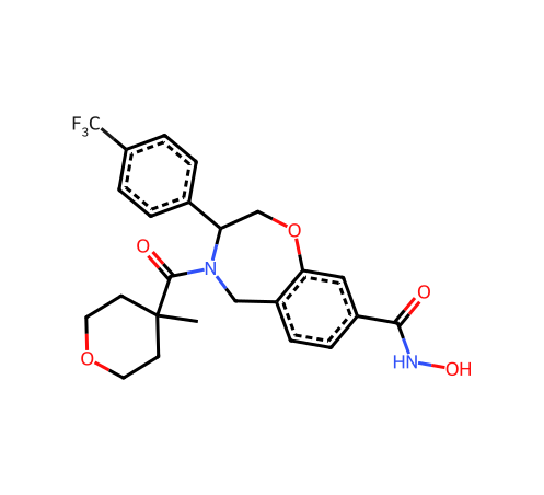 CC1(C(=O)N2Cc3ccc(C(=O)NO)cc3OCC2c2ccc(C(F)(F)F)cc2)CCOCC1